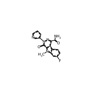 Cn1c2cc(F)ccc2c2c(C(N)=O)nn(-c3cccnc3)c(=O)c21